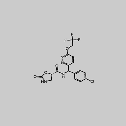 O=C1NC[C@@H](C(=O)N[C@H](c2ccc(Cl)cc2)c2ccc(OCC(F)(F)F)nn2)O1